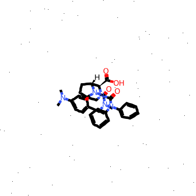 CN(Cc1ccc(N(C)C)cc1)C(=O)N1C2CC[C@@H]1[C@@H](C(=O)O)N(C(=O)N(c1ccccc1)c1ccccc1)C2